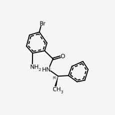 C[C@@H](NC(=O)c1cc(Br)ccc1N)c1ccccc1